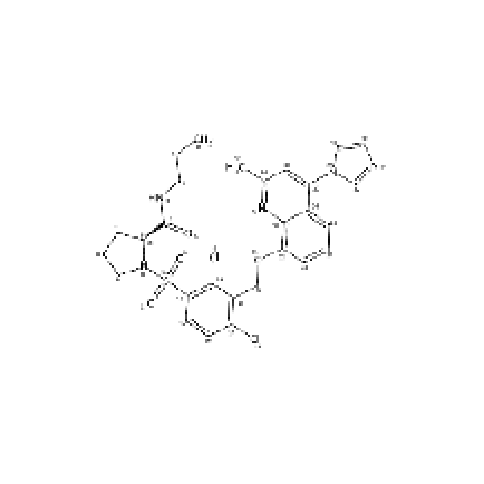 [CH2]CCNC(=O)[C@@H]1CCCN1S(=O)(=O)c1ccc(Cl)c(COc2cccc3c(-n4ccnc4)cc(C)nc23)c1Cl